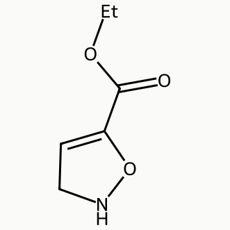 CCOC(=O)C1=CCNO1